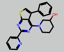 OC1CCCN(c2nc(-c3ccccn3)nc3scc(-c4ccccc4)c23)C1